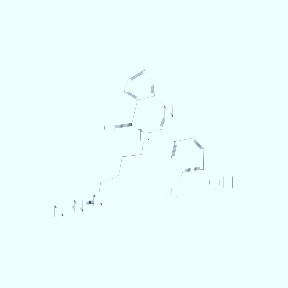 COc1cc(-c2nc3ccccc3c(=O)n2CCCCN=[N+]=[N-])ccc1O